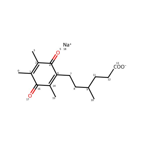 CC1=C(C)C(=O)C(CCC(C)CCC(=O)[O-])=C(C)C1=O.[Na+]